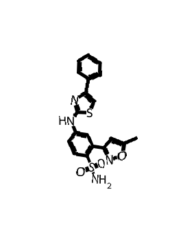 Cc1cc(-c2cc(Nc3nc(-c4ccccc4)cs3)ccc2S(N)(=O)=O)no1